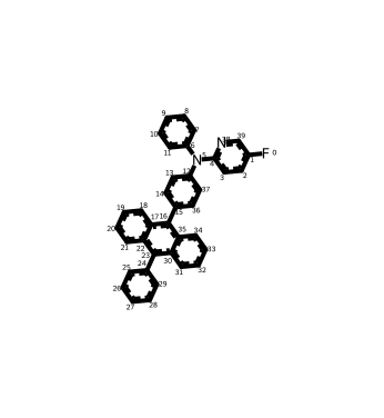 Fc1ccc(N(c2ccccc2)c2ccc(-c3c4ccccc4c(-c4ccccc4)c4ccccc34)cc2)nc1